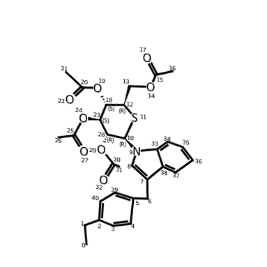 CCc1ccc(Cc2cn([C@@H]3S[C@H](COC(C)=O)[C@@H](OC(C)=O)[C@H](OC(C)=O)[C@H]3OC(C)=O)c3ccccc23)cc1